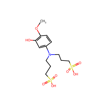 COc1ccc(N(CCCS(=O)(=O)O)CCCS(=O)(=O)O)cc1O